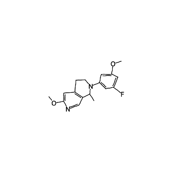 COc1cc(F)cc(N2CCc3cc(OC)ncc3C2C)c1